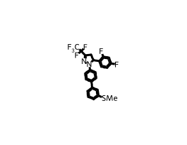 CSc1cccc(-c2ccc(N3N=C(C(F)(F)C(F)(F)F)CC3c3ccc(F)cc3F)cc2)c1